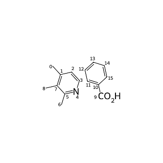 Cc1ccnc(C)c1C.O=C(O)c1ccccc1